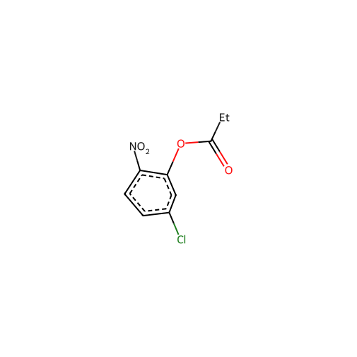 CCC(=O)Oc1cc(Cl)ccc1[N+](=O)[O-]